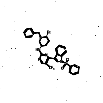 CC[C@@H]1CC[C@H](Nc2ncc(C(F)(F)F)c(-c3cn(S(=O)(=O)c4ccccc4)c4ccccc34)n2)CN1Cc1ccccc1